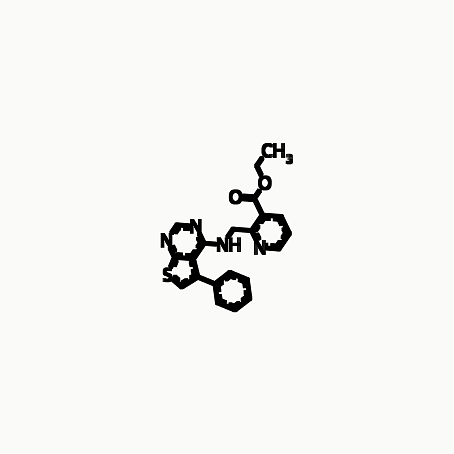 CCOC(=O)c1cccnc1CNc1ncnc2scc(-c3ccccc3)c12